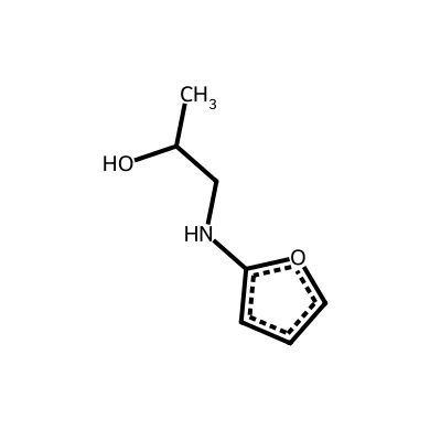 CC(O)CNc1ccco1